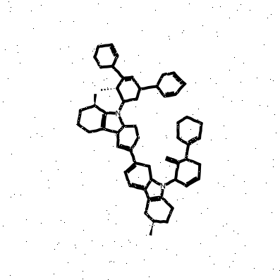 C=C1C(C2=CCCCC2)CC=CC1N1C2=C(C[C@H](C)CC2)C2=CC=C(C3=CC4C5=C([C@H](C)CCC5)N(C5CC(C6C=CC=CC6)C=C(C6C=CCCC6)[C@H]5C)C4CC3)CC21